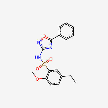 CCc1ccc(OC)c(S(=O)(=O)Nc2noc(-c3ccccc3)n2)c1